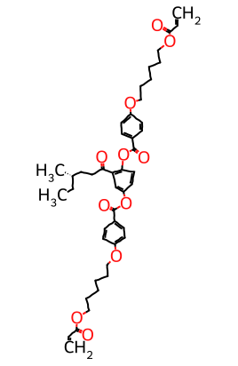 C=CC(=O)OCCCCCCOc1ccc(C(=O)Oc2ccc(OC(=O)c3ccc(OCCCCCCOC(=O)C=C)cc3)c(C(=O)CC[C@@H](C)CC)c2)cc1